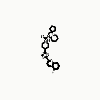 O=C(NCC1(N2CCCCC2)CCCC1)N1CCC(c2nc(-c3ccc4c(F)cccc4n3)no2)CC1